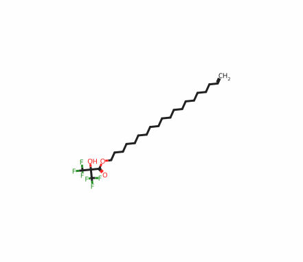 C=CCCCCCCCCCCCCCCCCCCOC(=O)C(O)(C(F)(F)F)C(F)(F)F